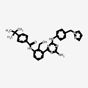 CC(C)(C)c1ccc(C(=O)Nc2cccc(-c3nc(N)nc(Nc4ccc(Cn5cccn5)cc4)n3)c2CO)cc1